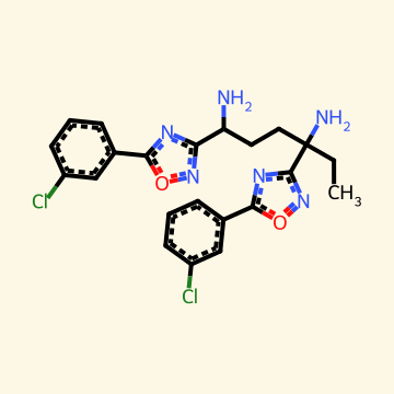 CCC(N)(CCC(N)c1noc(-c2cccc(Cl)c2)n1)c1noc(-c2cccc(Cl)c2)n1